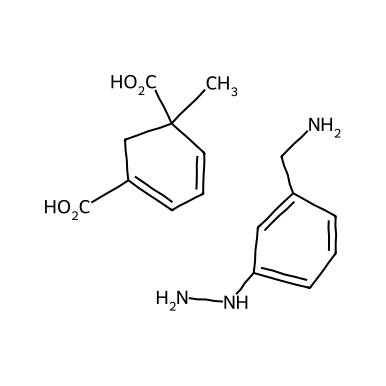 CC1(C(=O)O)C=CC=C(C(=O)O)C1.NCc1cccc(NN)c1